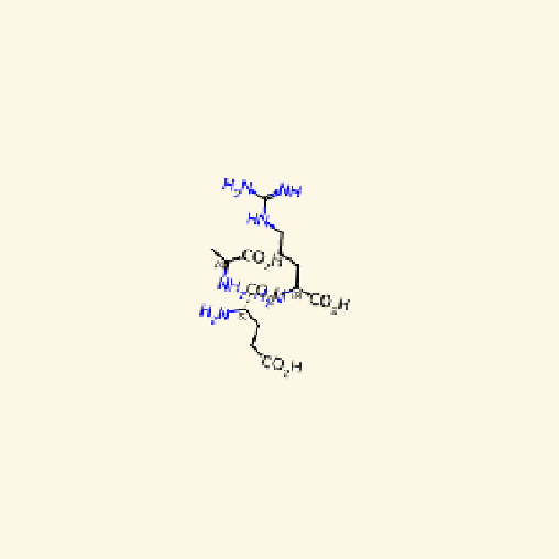 C[C@H](N)C(=O)O.N=C(N)NCCC[C@H](N)C(=O)O.N[C@@H](CCC(=O)O)C(=O)O